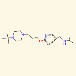 CC(C)NCc1ccc(OCCCN2CCN(C(C)(C)C)CC2)nc1